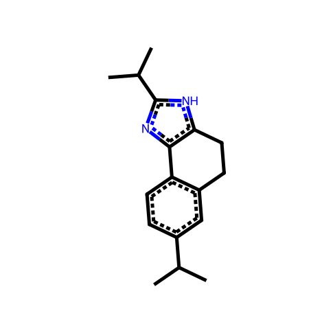 CC(C)c1ccc2c(c1)CCc1[nH]c(C(C)C)nc1-2